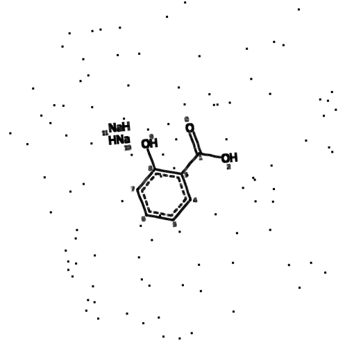 O=C(O)c1ccccc1O.[NaH].[NaH]